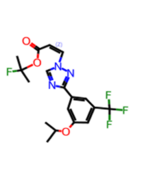 CC(C)Oc1cc(-c2ncn(/C=C\C(=O)OC(C)(C)F)n2)cc(C(F)(F)F)c1